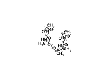 C=C1CC(=O)N(CCC(=O)NC(C)COCCOCC(C)OCC(C)NC(=O)CCN2C(=O)CC(=C)C2=O)C1=O